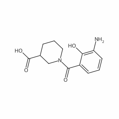 Nc1cccc(C(=O)N2CCCC(C(=O)O)C2)c1O